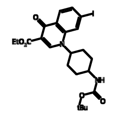 CCOC(=O)c1cn(C2CCC(NC(=O)OC(C)(C)C)CC2)c2cc(I)ccc2c1=O